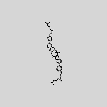 C=C1Sc2cc3cc(-c4ccc(CCC(C)CCCC(C)C)cc4)ccc3cc2CSc2cc3cc(C4=CC=C(CCCC(C)CCCC(C)C)C=CC4)ccc3cc21